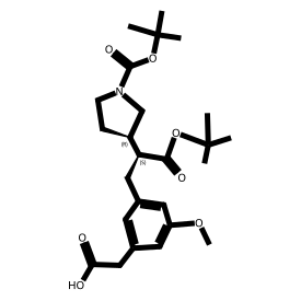 COc1cc(CC(=O)O)cc(C[C@H](C(=O)OC(C)(C)C)[C@H]2CCN(C(=O)OC(C)(C)C)C2)c1